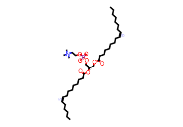 CCCCC/C=C\CCCCCCCC(=O)O[C@H](COC(=O)CCCCCCC/C=C\CCCCCCC)COP(=O)([O-])OCC[N+](C)(C)C